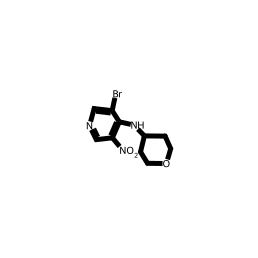 O=[N+]([O-])c1cncc(Br)c1NC1CCOCC1